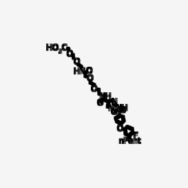 CCCCCc1cc(Oc2ccc(S(=O)(=O)Nc3ncc(C(=O)NCCOCCOCC(=O)NCCOCCOCC(=O)O)cn3)cc2)ccc1F